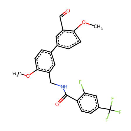 COc1ccc(-c2ccc(OC)c(CNC(=O)c3ccc(C(F)(F)F)cc3F)c2)cc1C=O